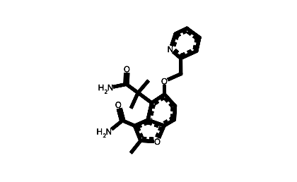 Cc1oc2ccc(OCc3ccccn3)c(C(C)(C)C(N)=O)c2c1C(N)=O